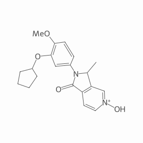 COc1ccc(N2C(=O)c3cc[n+](O)cc3C2C)cc1OC1CCCC1